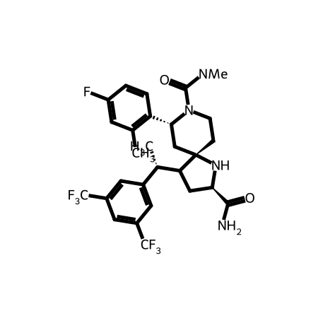 CNC(=O)N1CC[C@@]2(C[C@@H]1c1ccc(F)cc1C)N[C@@H](C(N)=O)CC2[C@@H](C)c1cc(C(F)(F)F)cc(C(F)(F)F)c1